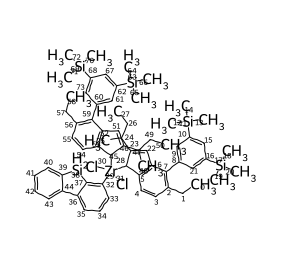 CCc1ccc2c(c1-c1cc([Si](C)(C)C)cc([Si](C)(C)C)c1)C=C(C(C)CC)[CH]2[Zr]([Cl])([Cl])([c]1cccc2c1[SiH2]c1ccccc1-2)[CH]1C(C(C)CC)=Cc2c1ccc(CC)c2-c1cc([Si](C)(C)C)cc([Si](C)(C)C)c1